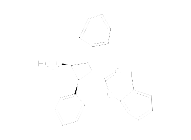 O=C(O)[C@H]1[C@H](c2ccccc2)[C@H](C(=O)Oc2ccccc2I)[C@H]1c1ccccc1